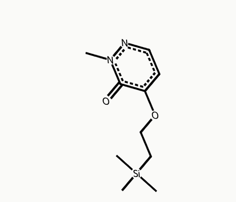 Cn1nccc(OCC[Si](C)(C)C)c1=O